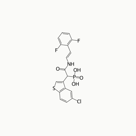 O=C(N/C=C/c1c(F)cccc1F)C(c1csc2ccc(Cl)cc12)P(=O)(O)O